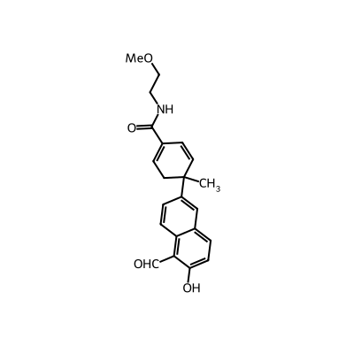 COCCNC(=O)C1=CCC(C)(c2ccc3c(C=O)c(O)ccc3c2)C=C1